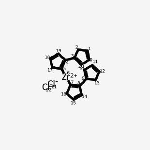 C1=CCC(C2=[C]([Zr+2][C]3=C(C4=CC=CC4)C=CC3)CC=C2)=C1.[Cl-].[Cl-]